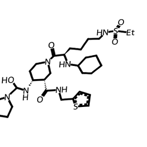 CCS(=O)(=O)NCCCC[C@@H](NC1CCCCC1)C(=O)N1CC[C@@H](NC(O)N2CCC3(CC2)CC3)[C@@H](C(=O)NCc2cccs2)C1